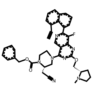 C#Cc1cccc2cccc(-c3ncc4c(N5CCN(C(=O)OCc6ccccc6)[C@@H](CC#N)C5)nc(OC[C@@H]5CCCN5C)nc4c3F)c12